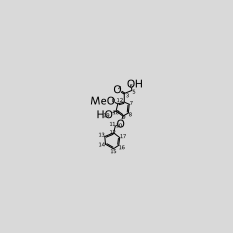 COc1c(C(=O)CO)ccc(OCc2ccccc2)c1O